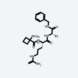 C=C(N)NCCC[C@H](NC(=O)C1(NC(C)=O)CCC1)C(=O)N[C@@H](CC)C(=O)NCc1ccccc1